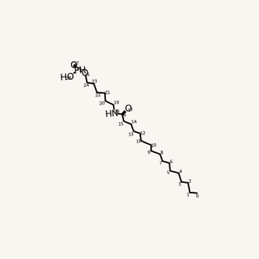 CCCCCCCCCCCCCCCCC(=O)NCCCCCCO[PH](=O)O